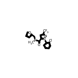 CN(Cc1ccco1)C(=O)c1cc(C(F)(F)F)nn1-c1ccccc1Cl